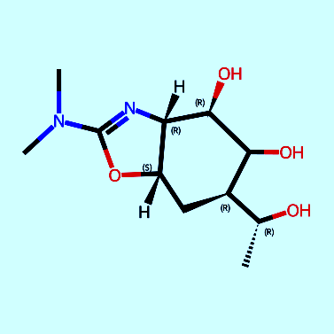 C[C@@H](O)[C@H]1C[C@@H]2OC(N(C)C)=N[C@@H]2[C@@H](O)C1O